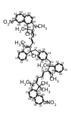 CN1/C(=C/C=C/C2=[N+](C)c3ccccc3C2(C)Cc2ccc(CC3(C)C(/C=C/C=C4/N(C)c5ccc6ccc([N+](=O)[O-])cc6c5C4(C)C)=[N+](C)c4ccccc43)cc2)C(C)(C)c2c1ccc1ccc([N+](=O)[O-])cc21